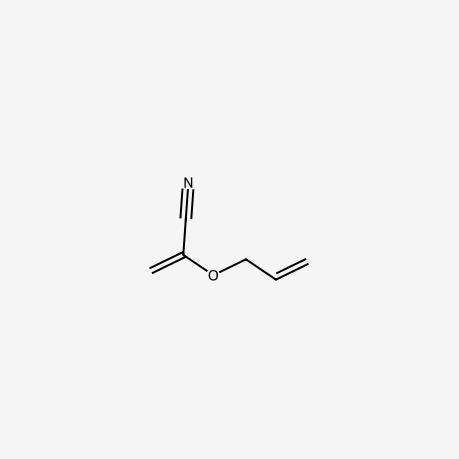 C=CCOC(=C)C#N